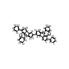 c1ccc(-c2ccc3c4cc(-c5ccc6c(c5)c5ccc(-c7ccccc7)c7c5n6-c5ccccc5O7)ccc4n4c3c2Oc2ccccc2-4)cc1